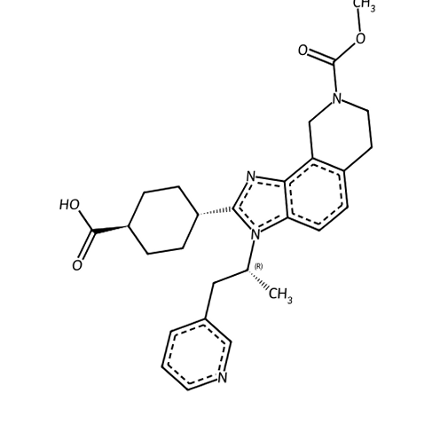 COC(=O)N1CCc2ccc3c(nc([C@H]4CC[C@H](C(=O)O)CC4)n3[C@H](C)Cc3cccnc3)c2C1